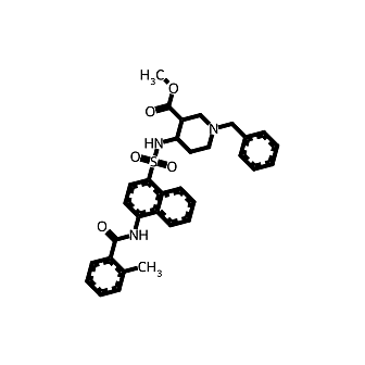 COC(=O)C1CN(Cc2ccccc2)CCC1NS(=O)(=O)c1ccc(NC(=O)c2ccccc2C)c2ccccc12